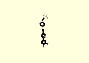 CCC[C@H]1CC[C@H](C#Cc2ccc(-c3ccc(F)c(F)c3)nc2)CC1